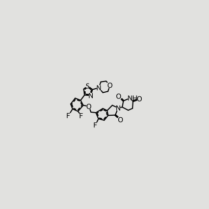 O=C1CCC(N2Cc3cc(COc4c(-c5csc(N6CCOCC6)n5)ccc(F)c4F)c(F)cc3C2=O)C(=O)N1